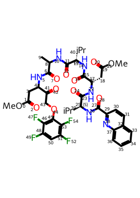 COC(=O)CC(NC(=O)C(C)NC(=O)[C@@H](NC(=O)[C@H](CC(=O)OC)NC(=O)[C@@H](NC(=O)c1ccc2ccccc2n1)C(C)C)C(C)C)C(=O)COc1c(F)c(F)cc(F)c1F